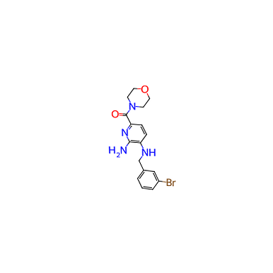 Nc1nc(C(=O)N2CCOCC2)ccc1NCc1cccc(Br)c1